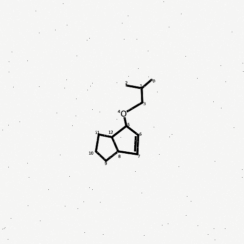 CC(C)COC1C=CC2CCCC21